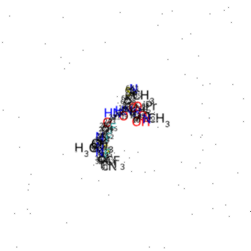 Cc1cc(C(C(=O)N2C[C@H](O)C[C@H]2C(=O)N[C@@H](CC(=O)NCCCOc2ccc(-c3ncc(N4C(=S)N(c5ccc(C#N)c(C(F)(F)F)c5F)CC4(C)C)cc3F)cc2F)c2ccc(-c3scnc3C)cc2)C(C)C)on1